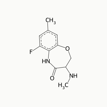 CNC1COc2cc(C)cc(F)c2NC1=O